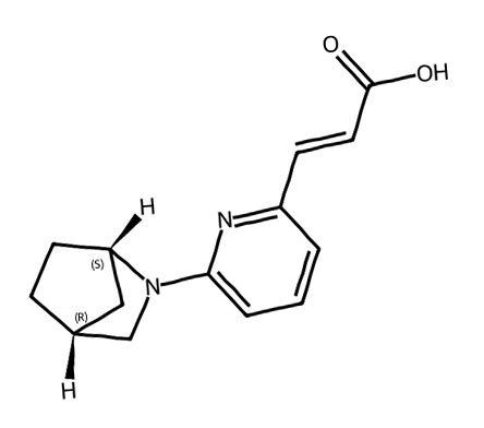 O=C(O)C=Cc1cccc(N2C[C@@H]3CC[C@H]2C3)n1